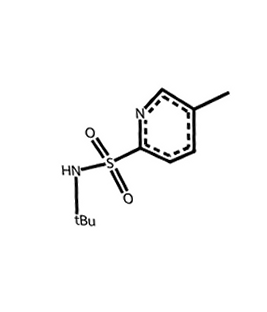 Cc1ccc(S(=O)(=O)NC(C)(C)C)nc1